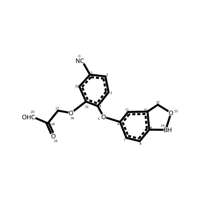 N#Cc1ccc(Oc2ccc3c(c2)COB3)c(OCC(=O)C=O)c1